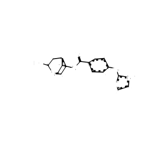 CC1CC2CCN1CC2NC(=O)c1ccc(Oc2ncco2)cc1